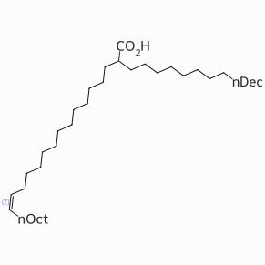 CCCCCCCC/C=C\CCCCCCCCCCCCC(CCCCCCCCCCCCCCCCCC)C(=O)O